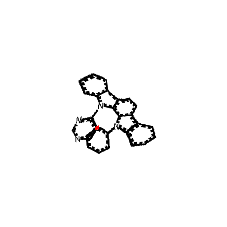 c1ccc(-n2c3ccccc3c3ccc4c5ccccc5n(-c5ccncn5)c4c32)cc1